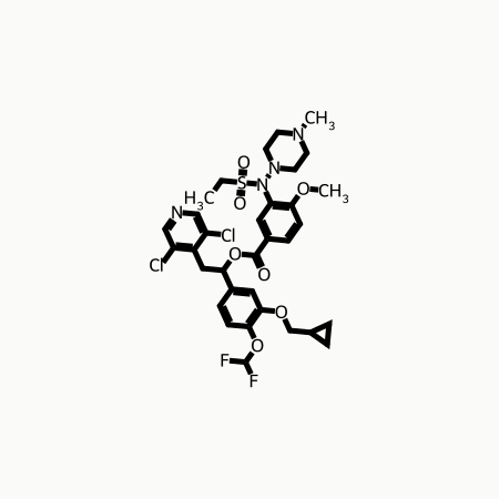 CCS(=O)(=O)N(c1cc(C(=O)OC(Cc2c(Cl)cncc2Cl)c2ccc(OC(F)F)c(OCC3CC3)c2)ccc1OC)N1CCN(C)CC1